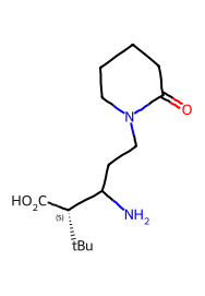 CC(C)(C)[C@H](C(=O)O)C(N)CCN1CCCCC1=O